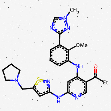 CCC(=O)c1cnc(Nc2cc(CN3CCCC3)sn2)cc1Nc1cccc(-c2ncn(C)n2)c1OC